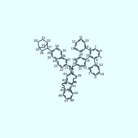 c1ccc(-c2cccc(-c3ccccc3)c2-c2ccc(N(c3ccc4cc(C5CC6CCC5C6)ccc4c3)c3ccc4c(c3)sc3ccccc34)cc2)cc1